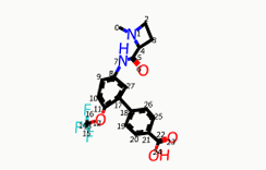 CN1CCC1C(=O)Nc1ccc(OC(F)(F)F)c(-c2ccc(C(=O)O)cc2)c1